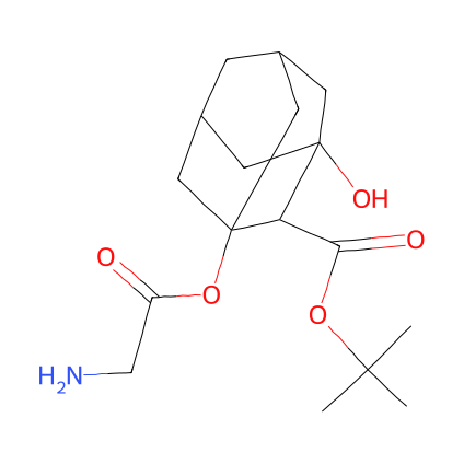 CC(C)(C)OC(=O)C1C2(O)CC3CC(C2)CC1(OC(=O)CN)C3